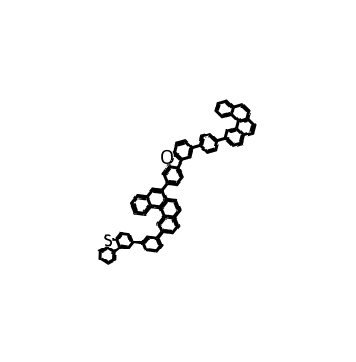 c1cc(-c2ccc3sc4ccccc4c3c2)cc(-c2ccc3ccc4c(-c5ccc6c(c5)oc5ccc(-c7ccc(-c8ccc9ccc%10ccc%11ccccc%11c%10c9c8)cc7)cc56)cc5ccccc5c4c3c2)c1